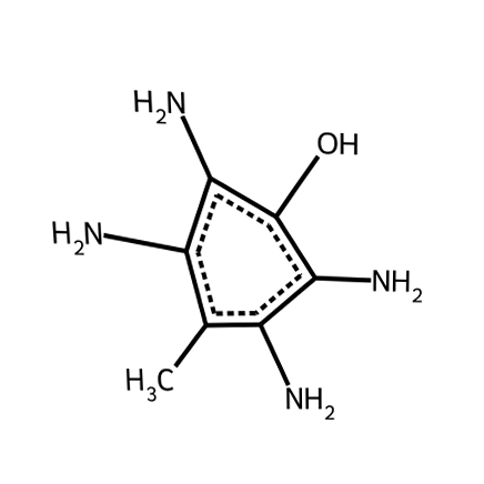 Cc1c(N)c(N)c(O)c(N)c1N